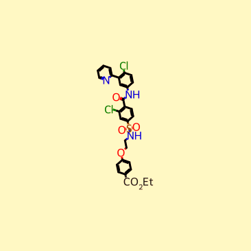 CCOC(=O)c1ccc(OCCNS(=O)(=O)c2ccc(C(=O)Nc3ccc(Cl)c(-c4ccccn4)c3)c(Cl)c2)cc1